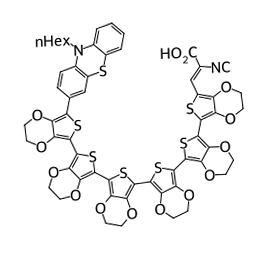 [C-]#[N+]/C(=C\c1sc(-c2sc(-c3sc(-c4sc(-c5sc(-c6sc(-c7ccc8c(c7)Sc7ccccc7N8CCCCCC)c7c6OCCO7)c6c5OCCO6)c5c4OCCO5)c4c3OCCO4)c3c2OCCO3)c2c1OCCO2)C(=O)O